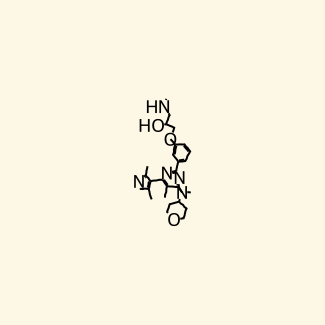 CNCC(O)COc1cccc(-c2nc(C3=C(C)CN=C3C)c(C)c(N(C)C3CCOCC3)n2)c1